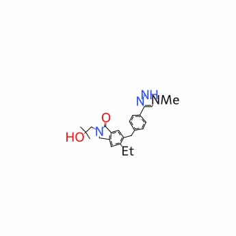 CCc1cc2c(cc1Cc1ccc(/C(=C/NC)N=N)cc1)C(=O)N(CC(C)(C)O)C2